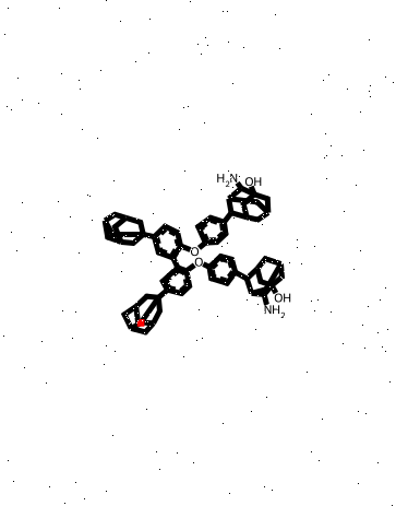 NC1C2CC3CC(CC1(O)C3)C2c1ccc(Oc2ccc(C34CC5CC(CC(C5)C3)C4)cc2-c2cc(C34CC5CC(CC(C5)C3)C4)ccc2Oc2ccc(C3C4CC5CC3C(N)C(O)(C5)C4)cc2)cc1